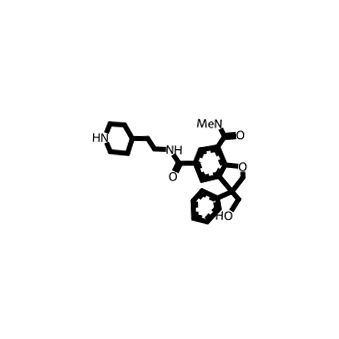 CNC(=O)c1cc(C(=O)NCCC2CCNCC2)cc2c1OCC2(CO)c1ccccc1